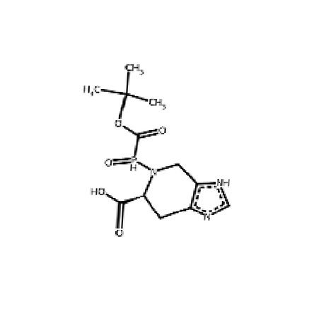 CC(C)(C)OC(=O)[PH](=O)N1Cc2[nH]cnc2C[C@H]1C(=O)O